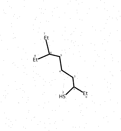 CCC(S)CCCC(CC)CC